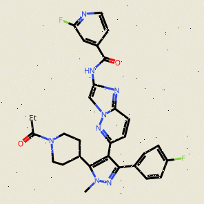 CCC(=O)N1CCC(c2c(-c3ccc4nc(NC(=O)c5ccnc(F)c5)cn4n3)c(-c3ccc(F)cc3)nn2C)CC1